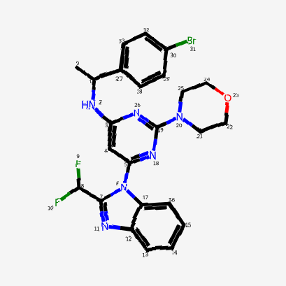 CC(Nc1cc(-n2c(C(F)F)nc3ccccc32)nc(N2CCOCC2)n1)c1ccc(Br)cc1